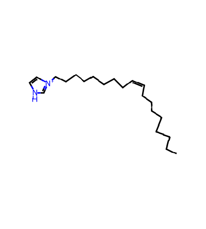 CCCCCCCC/C=C\CCCCCCCC[n+]1cc[nH]c1